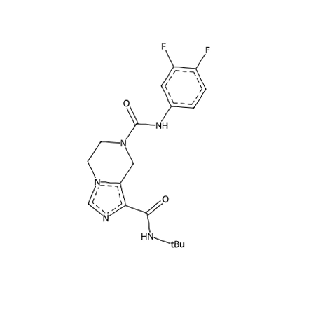 CC(C)(C)NC(=O)c1ncn2c1CN(C(=O)Nc1ccc(F)c(F)c1)CC2